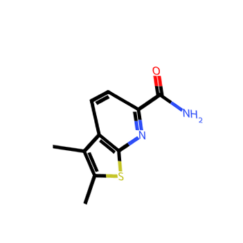 Cc1sc2nc(C(N)=O)ccc2c1C